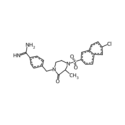 CC1C(=O)N(Cc2ccc(C(=N)N)cc2)CCN1S(=O)(=O)c1ccc2cc(Cl)ccc2c1